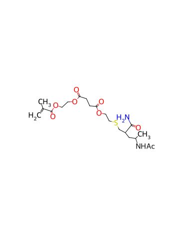 C=C(C)C(=O)OCCOC(=O)CCC(=O)OCCSCC(CC(C)NC(C)=O)C(N)=O